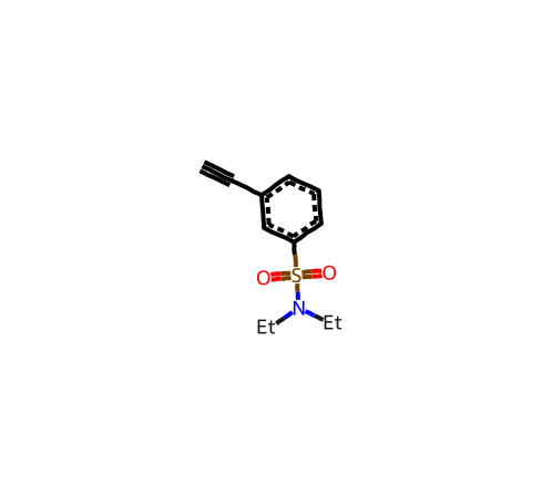 C#Cc1cccc(S(=O)(=O)N(CC)CC)c1